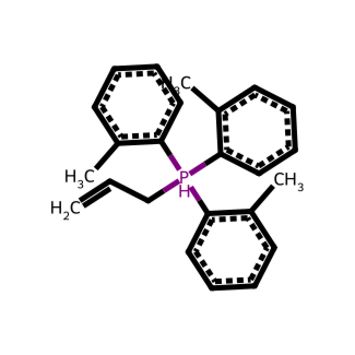 C=CC[PH](c1ccccc1C)(c1ccccc1C)c1ccccc1C